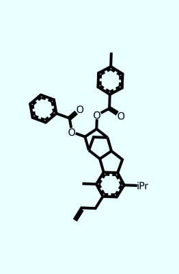 C=CCc1cc(C(C)C)c2c(c1C)C1C(C2)C2CC1C(OC(=O)c1ccccc1)C2OC(=O)c1ccc(C)cc1